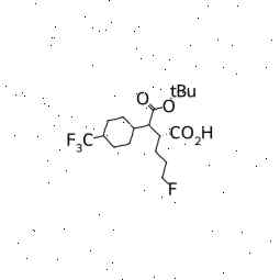 CC(C)(C)OC(=O)C(C1CCC(C(F)(F)F)CC1)[C@@H](CCCF)C(=O)O